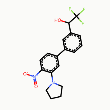 O=[N+]([O-])c1ccc(-c2cccc(C(O)C(F)(F)F)c2)cc1N1CCCC1